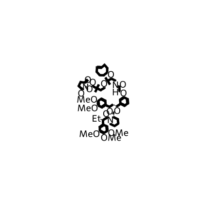 CC[C@H](C(=O)N1CCCC[C@H]1C(=O)O[C@H](CCc1ccc(OC)c(OC)c1)c1cccc(OCC(=O)NCC(OC2CC/C=C/CCC2)C(C)(C)OCCC(C)(C)C(=O)ON2C(=O)CCC2=O)c1)c1cc(OC)c(OC)c(OC)c1